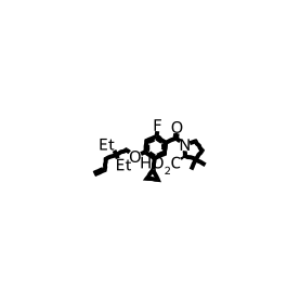 C=CCC(CC)(CC)COc1cc(F)c(C(=O)N2CCC(C)(C)[C@H]2C(=O)O)cc1C1CC1